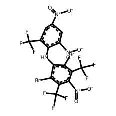 O=[N+]([O-])c1cc([N+](=O)[O-])c(Nc2c(Br)c(C(F)(F)F)c([N+](=O)[O-])c(C(F)(F)F)c2Br)c(C(F)(F)F)c1